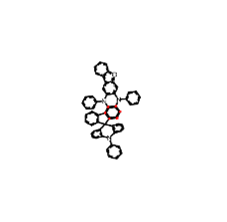 c1ccc(N(c2ccc3c(c2)-c2ccccc2C32c3ccccc3N(c3ccccc3)c3ccccc32)c2cc3oc4ccccc4c3cc2N(c2ccccc2)c2ccccc2)cc1